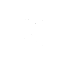 CCOc1ccc(CN2C(=O)C(C)(c3ccccc3Cl)c3cc(Cl)ccc32)c(OC)c1